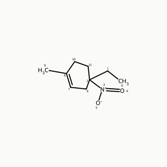 CCC1([N+](=O)[O-])CC=C(C)CC1